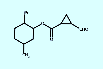 CC1CCC(C(C)C)C(OC(=O)C2CC2C=O)C1